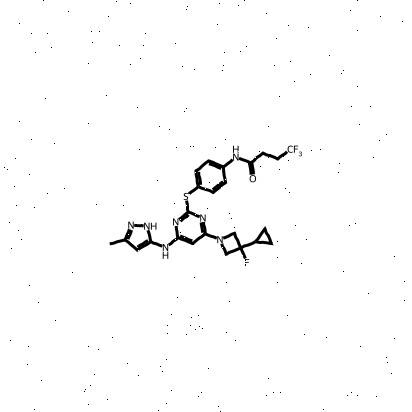 Cc1cc(Nc2cc(N3CC(F)(C4CC4)C3)nc(Sc3ccc(NC(=O)CCC(F)(F)F)cc3)n2)[nH]n1